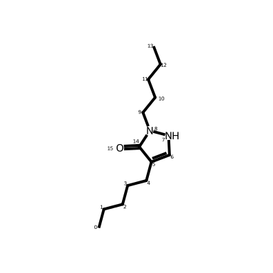 CCCCCc1c[nH]n(CCCCC)c1=O